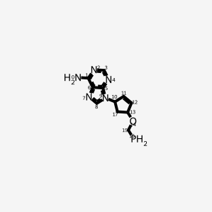 Nc1ncnc2c1ncn2C1C=CC(OCP)C1